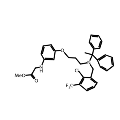 COC(=O)CNc1cccc(OCCCN(Cc2cccc(C(F)(F)F)c2Cl)C(C)(c2ccccc2)c2ccccc2)c1